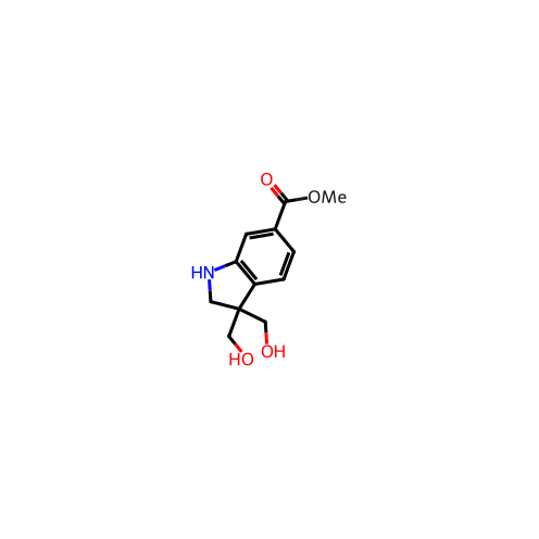 COC(=O)c1ccc2c(c1)NCC2(CO)CO